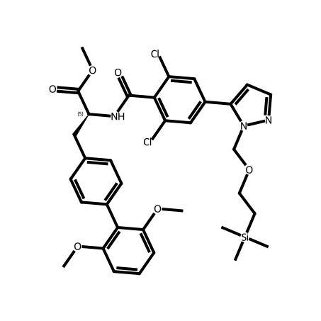 COC(=O)[C@H](Cc1ccc(-c2c(OC)cccc2OC)cc1)NC(=O)c1c(Cl)cc(-c2ccnn2COCC[Si](C)(C)C)cc1Cl